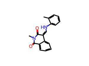 Cc1ccccc1NC=C1C(=O)N(C)C(=O)c2ccccc21